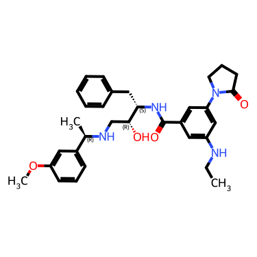 CCNc1cc(C(=O)N[C@@H](Cc2ccccc2)[C@H](O)CN[C@H](C)c2cccc(OC)c2)cc(N2CCCC2=O)c1